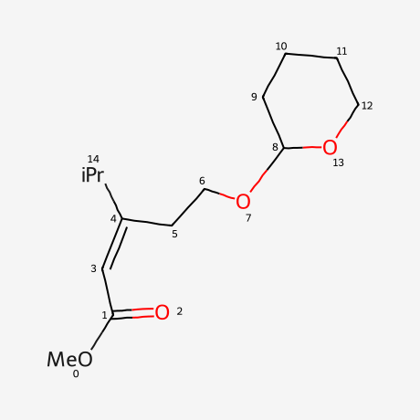 COC(=O)/C=C(\CCOC1CCCCO1)C(C)C